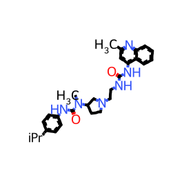 Cc1cc(NC(=O)NCCN2CCC(N(C)C(=O)Nc3ccc(C(C)C)cc3)C2)c2ccccc2n1